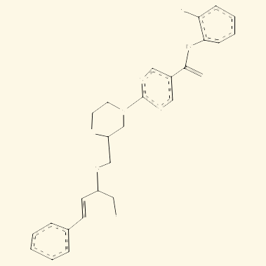 Nc1ccccc1NC(=O)c1cnc(N2CCOC(CNC(/C=C/c3ccccc3)CO)C2)nc1